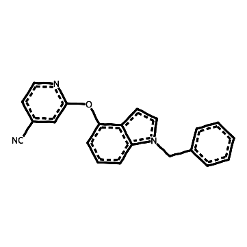 N#Cc1ccnc(Oc2cccc3c2ccn3Cc2ccccc2)c1